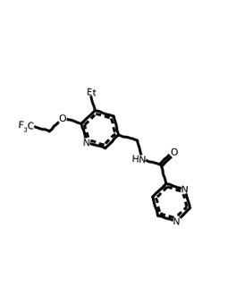 CCc1cc(CNC(=O)c2ccncn2)cnc1OCC(F)(F)F